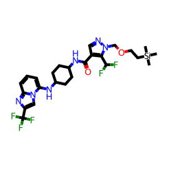 C[Si](C)(C)CCOCn1ncc(C(=O)NC2CCC(Nc3cccc4nc(C(F)(F)F)cn34)CC2)c1C(F)F